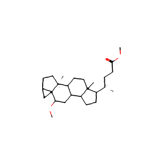 COC(=O)CC[C@@H](C)C1CCC2C3CC(OC)C45CC4CC[C@]5(C)C3CCC21C